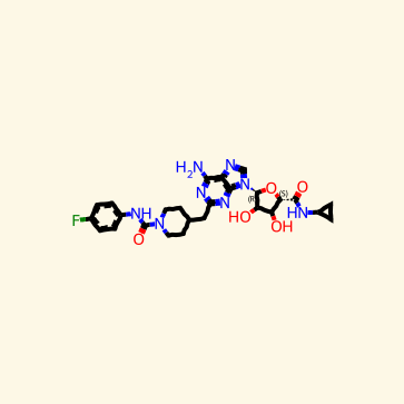 Nc1nc(CC2CCN(C(=O)Nc3ccc(F)cc3)CC2)nc2c1ncn2[C@@H]1O[C@H](C(=O)NC2CC2)C(O)C1O